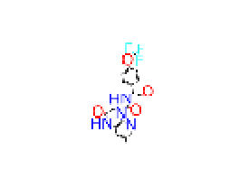 COC[C@@H](NC(=O)N1CC(=O)Nc2cc(C)cnc21)c1ccc(OC(F)(F)F)cc1